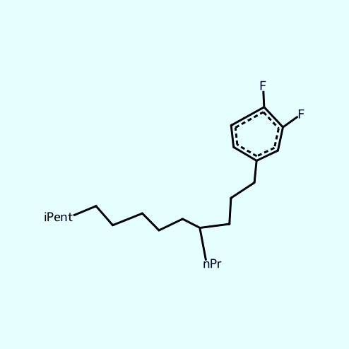 CCCC(C)CCCCCC(CCC)CCCc1ccc(F)c(F)c1